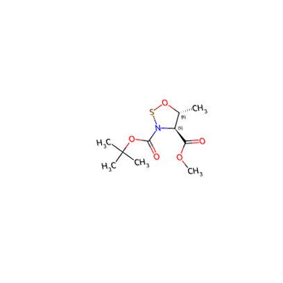 COC(=O)[C@@H]1[C@@H](C)OSN1C(=O)OC(C)(C)C